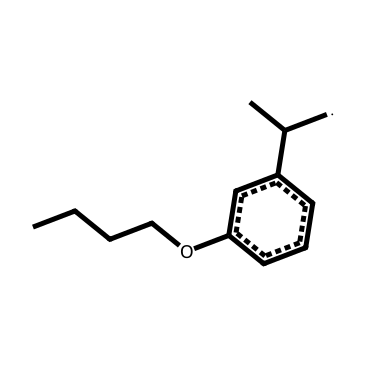 [CH2]C(C)c1cccc(OCCCC)c1